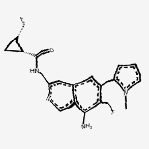 Cn1cccc1-c1cc2cc(NC(=O)[C@@H]3C[C@@H]3F)ncc2c(N)c1F